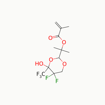 C=C(C)C(=O)OC(C)(C)C1OCC(F)(F)C(O)(C(F)(F)F)O1